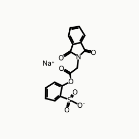 O=C(CN1C(=O)c2ccccc2C1=O)Oc1ccccc1S(=O)(=O)[O-].[Na+]